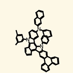 Cc1cc(C)cc(-n2c3ccc(N(c4ccccc4)c4ccc5ccccc5c4)cc3c3c2c2ccccc2c2c4cc5c6ccccc6c6ccccc6c5cc4n(-c4ccccc4)c23)c1